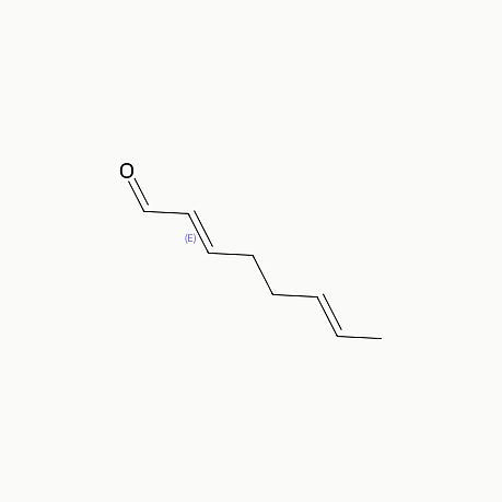 CC=CCC/C=C/C=O